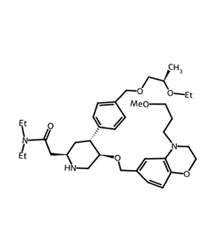 CCO[C@H](C)COCc1ccc([C@H]2C[C@H](CC(=O)N(CC)CC)NC[C@@H]2OCc2ccc3c(c2)N(CCCOC)CCO3)cc1